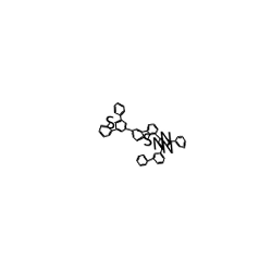 c1ccc(-c2cccc(-c3nc(-c4ccccc4)nc(-c4cccc5c4sc4ccc(-c6cc(-c7ccccc7)c7sc8ccccc8c7c6)cc45)n3)c2)cc1